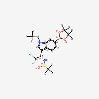 CC(C)(C)Cn1cc([C@H](N[S+]([O-])C(C)(C)C)C(F)F)c2ccc(B3OC(C)(C)C(C)(C)O3)cc21